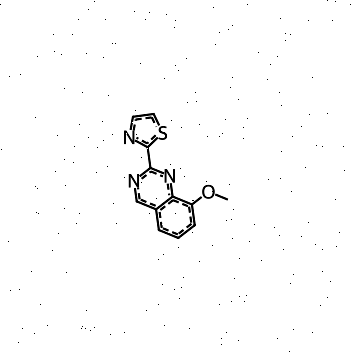 COc1cccc2cnc(-c3nccs3)nc12